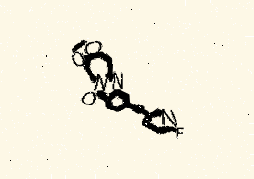 O=c1c2ccc(C#Cc3ccc(F)nc3)cc2nc2n1CCC1(CC2)OCCO1